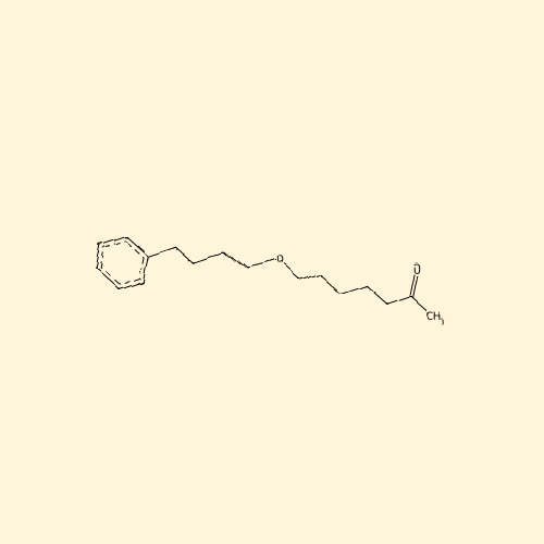 CC(=O)CCCCCOCCCCc1ccccc1